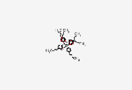 CCCCc1ccc(P(c2ccc(CCCC)cc2)C(CC)(P(c2ccc(CCCC)cc2)c2ccc(CCCC)cc2)P(c2ccc(CCCC)cc2)c2ccc(CCCC)cc2)cc1